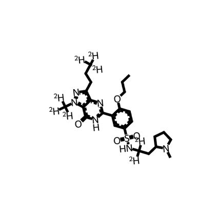 [2H]C([2H])([2H])CCc1nn(C([2H])([2H])[2H])c2c(=O)[nH]c(-c3cc(S(=O)(=O)NC([2H])([2H])CC4CCCN4C)ccc3OCCC)nc12